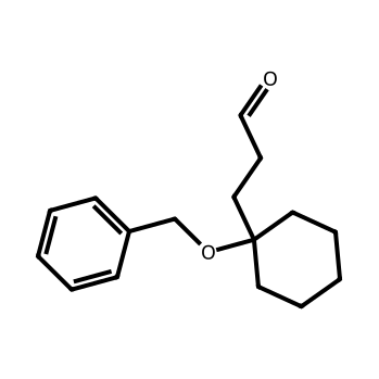 O=CCCC1(OCc2ccccc2)CCCCC1